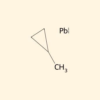 CC1CC1.[Pb]